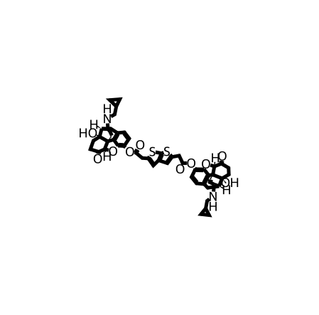 O=C(Cc1cc2cc(CC(=O)Oc3ccc4c5c3O[C@H]3C(=O)CC[C@@]6(O)[C@@H](C4)C(NCC4CC4)CC[C@]536)sc2s1)Oc1ccc2c3c1O[C@H]1C(=O)CC[C@@]4(O)[C@@H](C2)C(NCC2CC2)C=C[C@]314